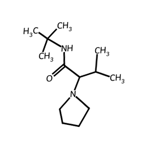 CC(C)C(C(=O)NC(C)(C)C)N1CCCC1